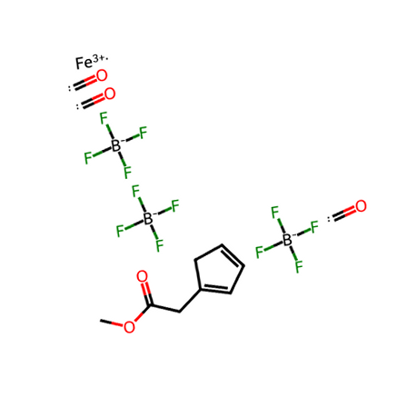 COC(=O)CC1=CC=CC1.F[B-](F)(F)F.F[B-](F)(F)F.F[B-](F)(F)F.[C]=O.[C]=O.[C]=O.[Fe+3]